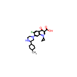 CC1CCC(C2CN(c3cc4c(cc3F)c(=O)c(C(=O)O)cn4C3CC3)CCN2)CC1